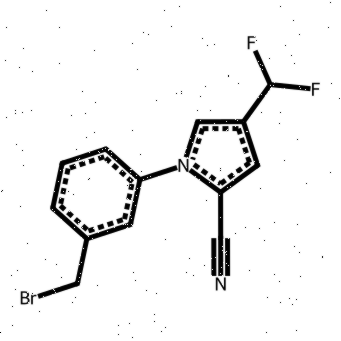 N#Cc1cc(C(F)F)cn1-c1cccc(CBr)c1